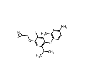 CC(C)c1cc(OCC2C=N2)c(I)cc1Oc1cnc(N)nc1N